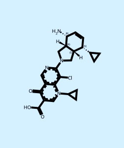 N[C@@H]1C=C[C@H](C2CC2)[C@@H]2CN(c3ncc4c(=O)c(C(=O)O)cn(C5CC5)c4c3Cl)C[C@@H]21